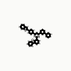 c1ccc(-c2cccc(-c3cc(-c4ccc(-c5cc6ccccc6s5)cc4)nc(-c4cccc5c4oc4ccccc45)n3)c2)cc1